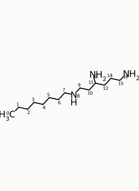 CCCCCCCCNCCC(N)CCCN